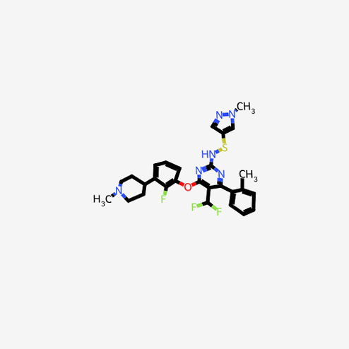 Cc1ccccc1-c1nc(NSc2cnn(C)c2)nc(Oc2cccc(C3CCN(C)CC3)c2F)c1C(F)F